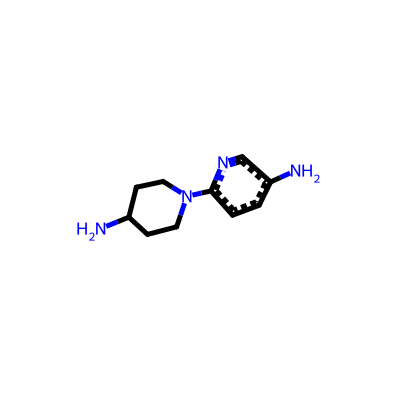 Nc1ccc(N2CCC(N)CC2)nc1